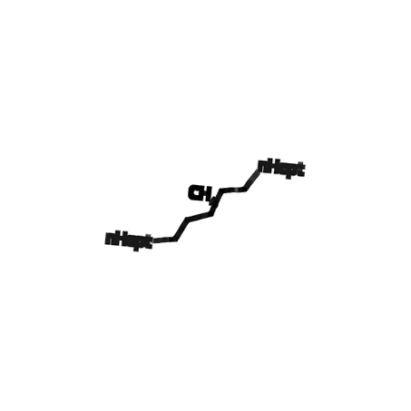 C.CCCCCCCCCCCCCCCCCCC